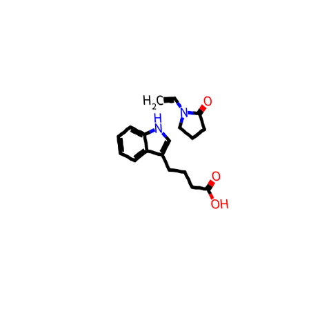 C=CN1CCCC1=O.O=C(O)CCCc1c[nH]c2ccccc12